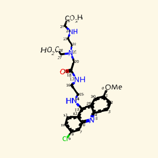 COc1ccc2nc3cc(Cl)ccc3c(NCCNC(=O)CN(CCNCC(=O)O)CC(=O)O)c2c1